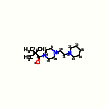 CC(C)(C)C(=O)N1CCN(CCN2CCCCC2)CC1